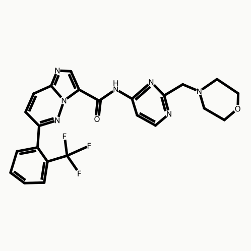 O=C(Nc1ccnc(CN2CCOCC2)n1)c1cnc2ccc(-c3ccccc3C(F)(F)F)nn12